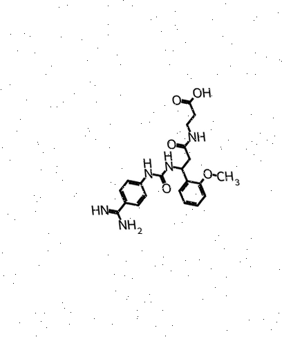 COc1ccccc1C(CC(=O)NCCC(=O)O)NC(=O)Nc1ccc(C(=N)N)cc1